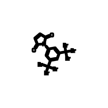 O=C1C=CC(=O)N1c1cc(C(Br)(Br)Br)cc(C(Br)(Br)Br)c1